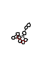 c1ccc(-c2ccccc2N(c2ccc(-c3ccc4ccccc4c3)cc2)c2ccccc2-c2cccc(-n3c4ccccc4c4ccccc43)c2)cc1